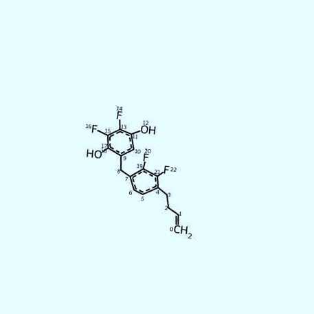 C=CCCc1ccc(Cc2cc(O)c(F)c(F)c2O)c(F)c1F